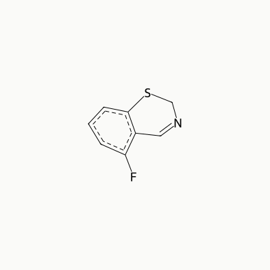 Fc1cccc2c1C=NCS2